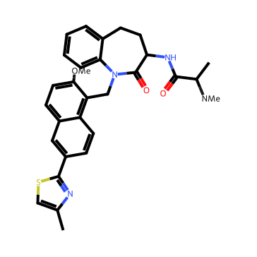 CNC(C)C(=O)NC1CCc2ccccc2N(Cc2c(OC)ccc3cc(-c4nc(C)cs4)ccc23)C1=O